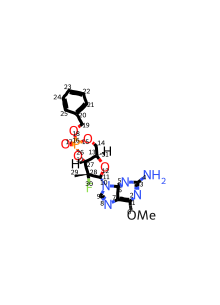 COc1nc(N)nc2c1ncn2[C@@H]1O[C@@H]2COP(=O)(OCc3ccccc3)O[C@H]2[C@@]1(C)F